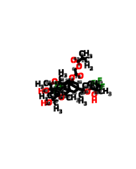 C=C(C)C(=O)OCC(=O)OC12CC3(C(C)(C)OC(C)C(C)(C)O)CC(C(C)(C)OC(C)C(C)(O)C(F)(F)F)(C1)CC(C(C)(C)OC(C)C(C)(O)C(F)(F)F)(C2)C3